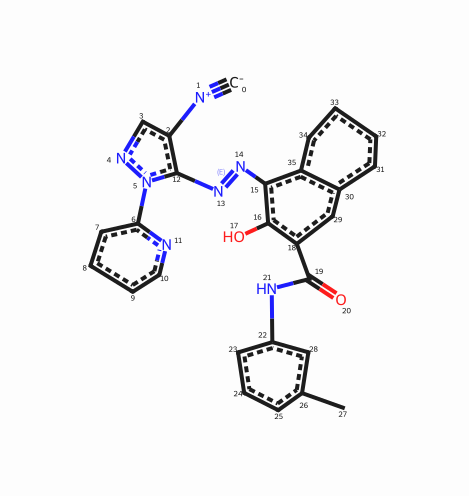 [C-]#[N+]c1cnn(-c2ccccn2)c1/N=N/c1c(O)c(C(=O)Nc2cccc(C)c2)cc2ccccc12